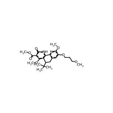 COCCCOc1cc2c(nc1OC)-c1[nH]c(=O)c(C(=O)OC)c(OC)c1C(C(C)(C)C)C2